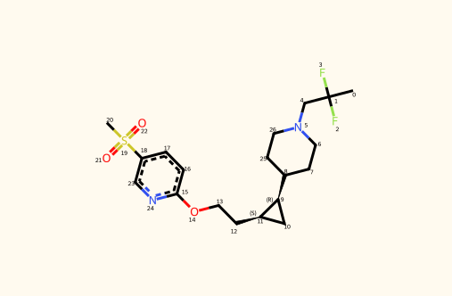 CC(F)(F)CN1CCC([C@H]2C[C@H]2CCOc2ccc(S(C)(=O)=O)cn2)CC1